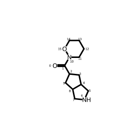 O=C(C1CC2CNCC2C1)N1CCCCO1